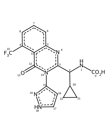 O=C(O)NC(c1nc2cccc(C(F)(F)F)c2c(=O)n1-c1cc[nH]n1)C1CC1